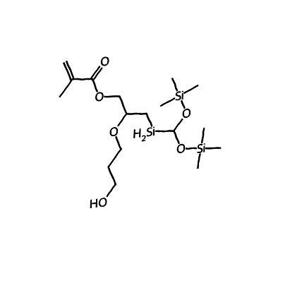 C=C(C)C(=O)OCC(C[SiH2]C(O[Si](C)(C)C)O[Si](C)(C)C)OCCCO